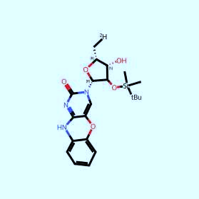 [2H]C[C@H]1O[C@@H](n2cc3c(nc2=O)Nc2ccccc2O3)C(O[Si](C)(C)C(C)(C)C)[C@H]1O